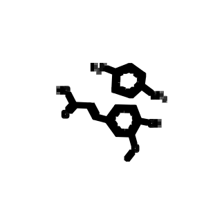 COc1cc(C=CC(=O)O)ccc1O.Nc1ccc(N)cc1